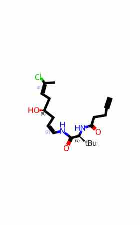 C#CCCC(=O)N[C@H](C(=O)N/C=C\C[C@@H](O)C/C=C(\C)Cl)C(C)(C)C